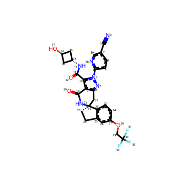 N#Cc1ccc(-n2nc3c(c2C(=O)N[C@H]2C[C@H](O)C2)C(=O)N[C@@]2(CCc4cc(OCC(F)(F)F)ccc42)C3)nc1